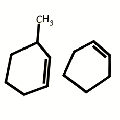 C1=CCCCC1.CC1C=CCCC1